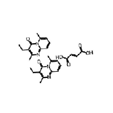 CCc1c(C)nc2cccc(C)n2c1=O.CCc1c(C)nc2cccc(C)n2c1=O.O=C(O)/C=C/C(=O)O